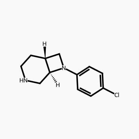 Clc1ccc(N2C[C@H]3CCNC[C@@H]32)cc1